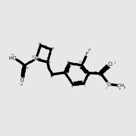 COC(=O)c1ccc(CC2CCN2C(=O)O)cc1F